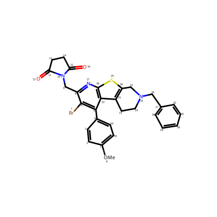 COc1ccc(-c2c(Br)c(CN3C(=O)CCC3=O)nc3sc4c(c23)CCN(Cc2ccccc2)C4)cc1